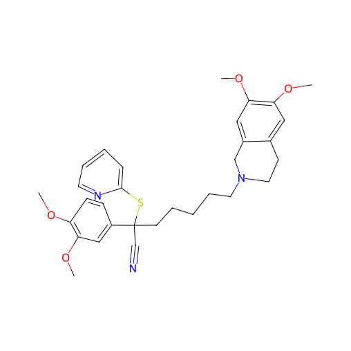 COc1ccc(C(C#N)(CCCCCN2CCc3cc(OC)c(OC)cc3C2)Sc2ccccn2)cc1OC